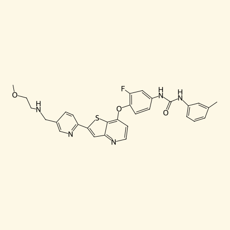 COCCNCc1ccc(-c2cc3nccc(Oc4ccc(NC(=O)Nc5cccc(C)c5)cc4F)c3s2)nc1